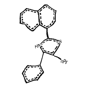 CCCc1nc(-c2cccc3ccccc23)[nH]c1-c1ccccc1